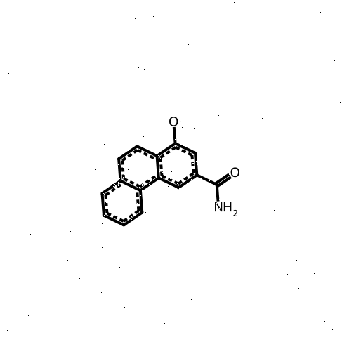 NC(=O)c1cc([O])c2ccc3ccccc3c2c1